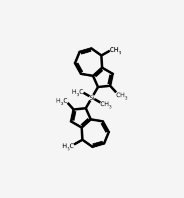 CC1=CC2=C(C=CC=CC2C)C1[Si](C)(C)C1C(C)=CC2=C1C=CC=CC2C